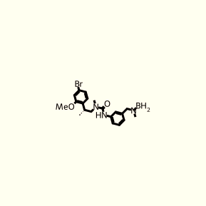 BN(C)Cc1cccc(NC(=O)N(C)C[C@H](C)c2ccc(Br)cc2OC)c1